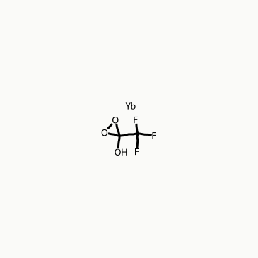 OC1(C(F)(F)F)OO1.[Yb]